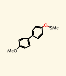 COc1ccc(-c2ccc(OSC)cc2)cc1